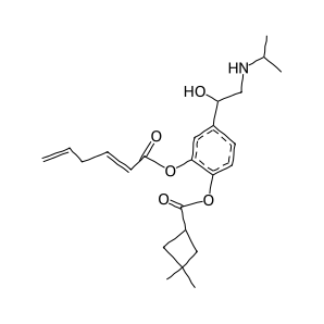 C=CCC=CC(=O)Oc1cc(C(O)CNC(C)C)ccc1OC(=O)C1CC(C)(C)C1